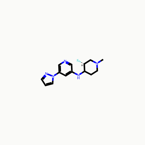 CN1CCC(Nc2cncc(-n3cccn3)c2)[C@H](F)C1